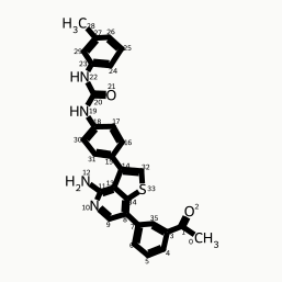 CC(=O)c1cccc(-c2cnc(N)c3c(-c4ccc(NC(=O)Nc5cccc(C)c5)cc4)csc23)c1